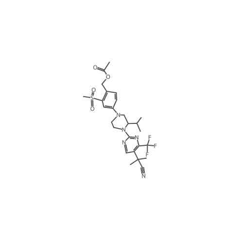 CC(=O)OCc1ccc(N2CCN(c3ncc(C(C)(C)C#N)c(C(F)(F)F)n3)C(C(C)C)C2)cc1S(C)(=O)=O